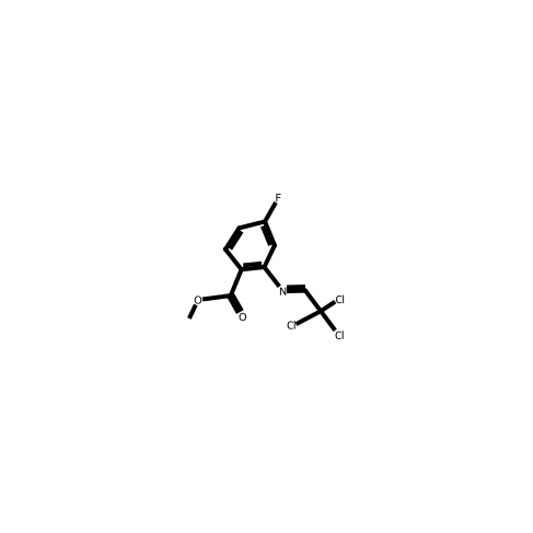 COC(=O)c1ccc(F)cc1N=CC(Cl)(Cl)Cl